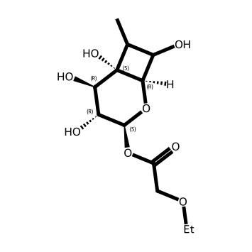 CCOCC(=O)O[C@@H]1O[C@@H]2C(O)C(C)[C@]2(O)[C@H](O)[C@H]1O